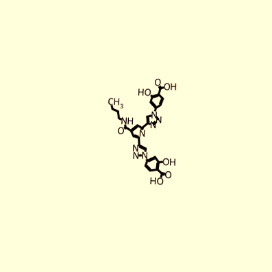 CCCCNC(=O)c1cc(-c2cn(-c3ccc(C(=O)O)c(O)c3)nn2)nc(-c2cn(-c3ccc(C(=O)O)c(O)c3)nn2)c1